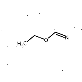 CCOC=[N]